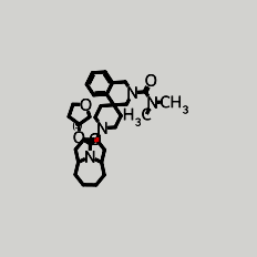 CN(C)C(=O)N1Cc2ccccc2C2(CCN(C3CCC4CCCCC(C3)N4C(=O)O[C@H]3CCOC3)CC2)C1